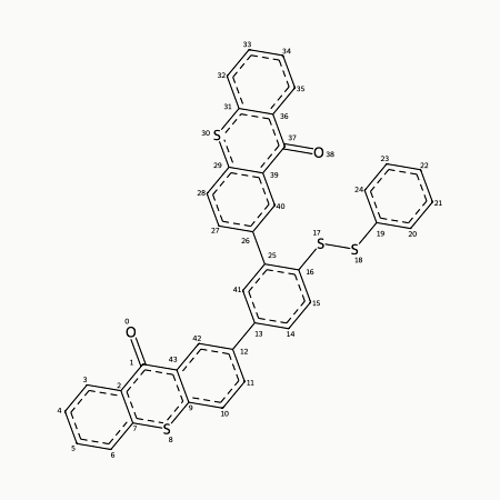 O=c1c2ccccc2sc2ccc(-c3ccc(SSc4ccccc4)c(-c4ccc5sc6ccccc6c(=O)c5c4)c3)cc12